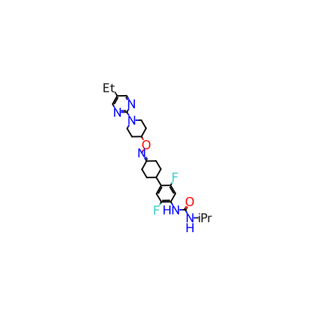 CCc1cnc(N2CCC(ON=C3CCC(c4cc(F)c(NC(=O)NC(C)C)cc4F)CC3)CC2)nc1